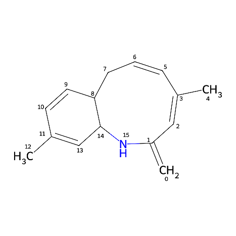 C=C1/C=C(C)\C=C/CC2C=CC(C)=CC2N1